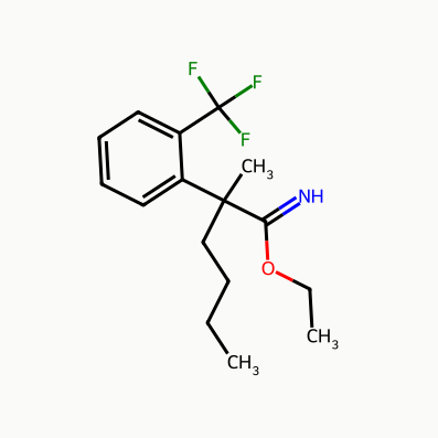 CCCCC(C)(C(=N)OCC)c1ccccc1C(F)(F)F